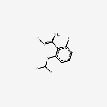 NC(=NO)c1c(F)cccc1OC(F)F